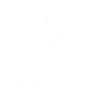 CC(Oc1cccc(-c2ocnc2-c2nc(-c3ccccc3)c(-c3ccccc3)[nH]2)c1)C(=O)O